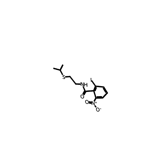 CC(C)SCCNC(=O)c1c(I)cccc1[N+](=O)[O-]